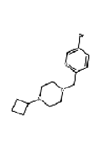 Brc1ccc(CN2CCN(C3CCC3)CC2)nc1